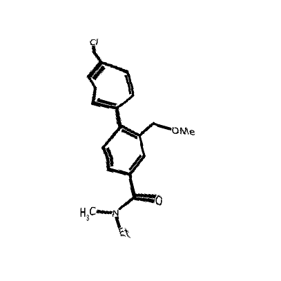 CCN(C)C(=O)c1ccc(-c2ccc(Cl)cc2)c(COC)c1